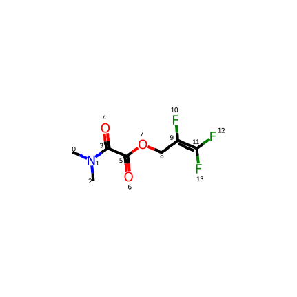 CN(C)C(=O)C(=O)OCC(F)=C(F)F